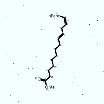 CCCCC/C=C\CC=CCCCCCCCC(=O)OC